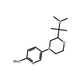 CSc1ccc(N2CCOC(C(C)(C)N(C)C)C2)cn1